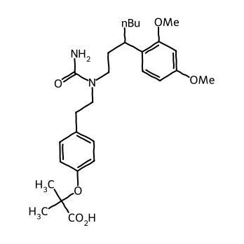 CCCCC(CCN(CCc1ccc(OC(C)(C)C(=O)O)cc1)C(N)=O)c1ccc(OC)cc1OC